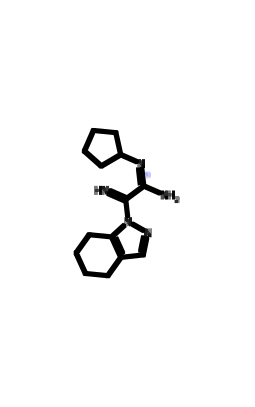 N=C(/C(N)=N\C1CCCC1)n1ncc2c1CCCC2